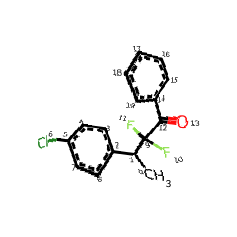 CC(c1ccc(Cl)cc1)C(F)(F)C(=O)c1ccccc1